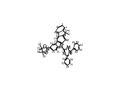 CC1(C)c2ccccc2-c2cc3c4cc(B5OC(C)(C)C(C)(C)O5)ccc4n(-c4nc(-c5ccccc5)nc(-c5ccccc5)n4)c3cc21